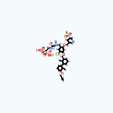 C#CCOc1cccc(-c2cccc(COc3cc(OCc4cncc(S(C)(=O)=O)c4)c(CN(C)CC(=O)NCC(S(=O)(=O)O)S(=O)(=O)O)cc3Cl)c2C)c1C